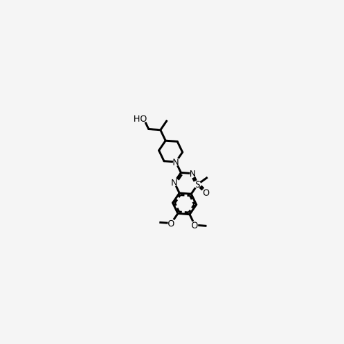 COc1cc2c(cc1OC)S(C)(=O)=NC(N1CCC(C(C)CO)CC1)=N2